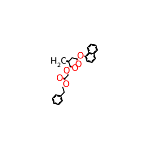 C=C(CC(=O)Oc1cccc2ccccc12)C(=O)OCC(=O)OCCc1ccccc1